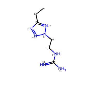 CCc1nnn(CCNC(=N)N)n1